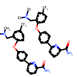 CCN(C)Cc1cc(C(F)(F)F)ccc1Oc1ccc(-c2cccc(C(N)=O)n2)cc1.CCN(CC)Cc1cc(C(F)(F)F)ccc1Oc1ccc(-c2cccc(C(N)=O)n2)cc1